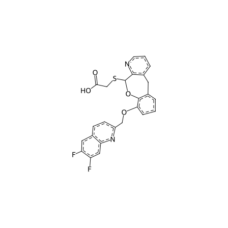 O=C(O)CSC1Oc2c(cccc2OCc2ccc3cc(F)c(F)cc3n2)Cc2cccnc21